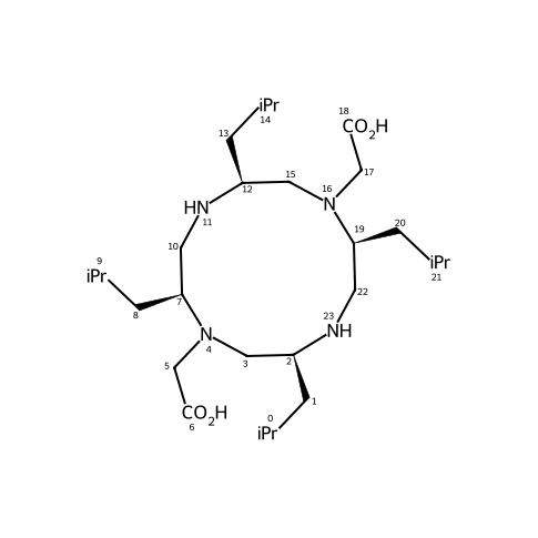 CC(C)C[C@H]1CN(CC(=O)O)[C@@H](CC(C)C)CN[C@@H](CC(C)C)CN(CC(=O)O)[C@@H](CC(C)C)CN1